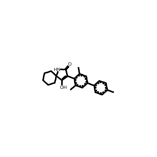 Cc1ccc(-c2cc(C)c(C3=C(O)C4(CCCCC4)NC3=O)c(C)c2)cc1